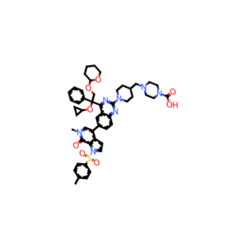 Cc1ccc(S(=O)(=O)n2ccc3c(-c4ccc5nc(N6CCC(CN7CCN(C(=O)O)CC7)CC6)nc(C(COC6CCCCO6)(OC6CC6)c6ccccc6)c5c4)cn(C)c(=O)c32)cc1